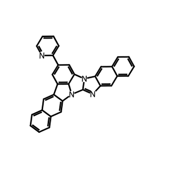 c1ccc(-c2cc3c4cc5ccccc5cc4n4c3c(c2)n2c3cc5ccccc5cc3nc24)nc1